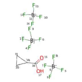 F[B-](F)(F)F.F[B-](F)(F)F.F[B-](F)(F)F.O=C(O)C1CC1